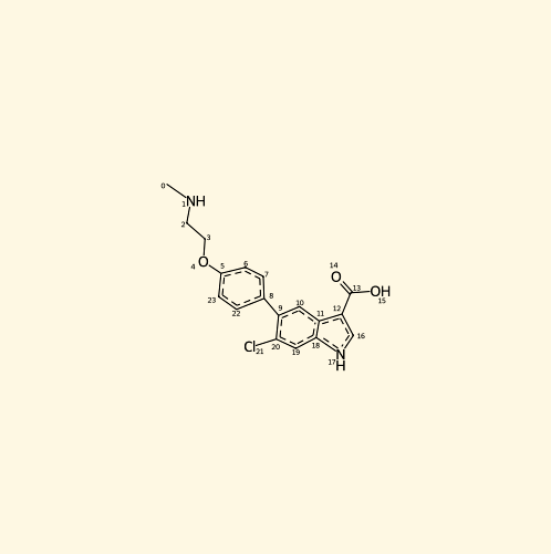 CNCCOc1ccc(-c2cc3c(C(=O)O)c[nH]c3cc2Cl)cc1